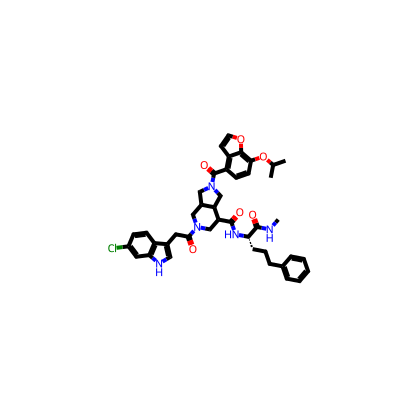 CNC(=O)[C@H](CCCc1ccccc1)NC(=O)C1CN(C(=O)Cc2c[nH]c3cc(Cl)ccc23)CC2CN(C(=O)c3ccc(OC(C)C)c4occc34)CC21